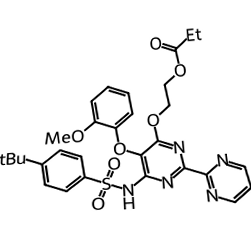 CCC(=O)OCCOc1nc(-c2ncccn2)nc(NS(=O)(=O)c2ccc(C(C)(C)C)cc2)c1Oc1ccccc1OC